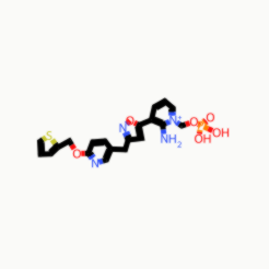 Nc1c(-c2cc(Cc3ccc(OCc4cccs4)nc3)no2)ccc[n+]1COP(=O)(O)O